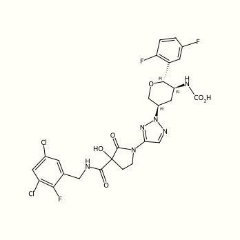 O=C(O)N[C@H]1C[C@@H](n2ncc(N3CCC(O)(C(=O)NCc4cc(Cl)cc(Cl)c4F)C3=O)n2)CO[C@@H]1c1cc(F)ccc1F